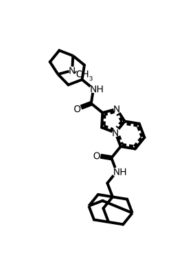 CN1C2CCC1CC(NC(=O)c1cn3c(C(=O)NCC45CC6CC(CC(C6)C4)C5)cccc3n1)C2